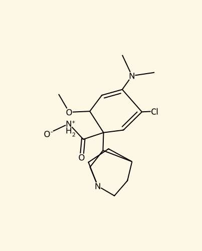 COC1C=C(N(C)C)C(Cl)=CC1(C(=O)[NH2+][O-])C1CN2CCC1CC2